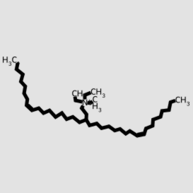 CCCCCCCC/C=C\CCCCCCCCC(CCCCCCCC/C=C\CCCCCCCC)CC[N+](CC)(CC)CC